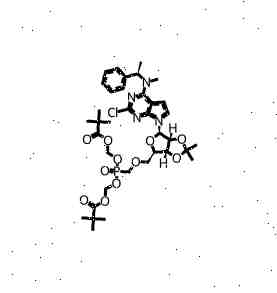 C[C@H](c1ccccc1)N(C)c1nc(Cl)nc2c1ccn2[C@@H]1O[C@H](COCP(=O)(OCOC(=O)C(C)(C)C)OCOC(=O)C(C)(C)C)[C@H]2OC(C)(C)O[C@H]21